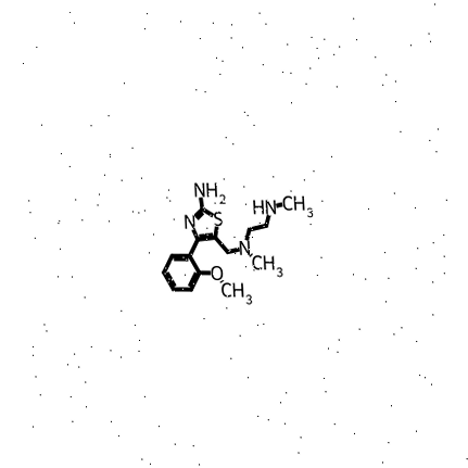 CNCCN(C)Cc1sc(N)nc1-c1ccccc1OC